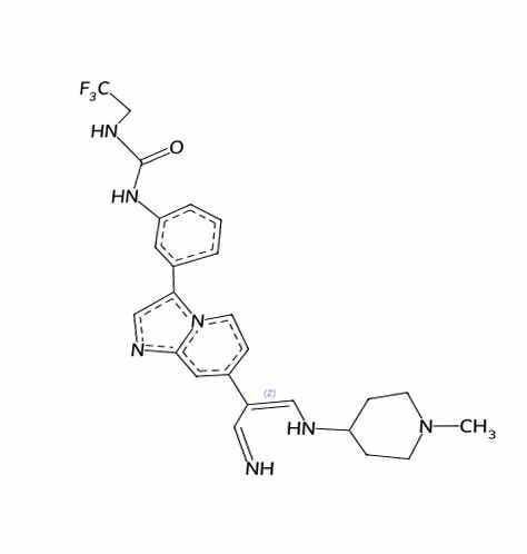 CN1CCC(N/C=C(\C=N)c2ccn3c(-c4cccc(NC(=O)NCC(F)(F)F)c4)cnc3c2)CC1